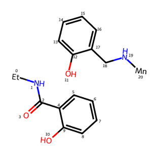 CCNC(=O)c1ccccc1O.Oc1ccccc1C[NH][Mn]